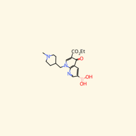 CCOC(=O)c1cn(CC2CCN(C)CC2)c2ncc(B(O)O)cc2c1=O